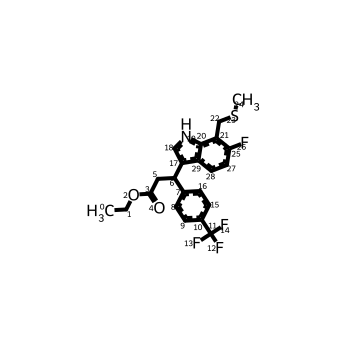 CCOC(=O)CC(c1ccc(C(F)(F)F)cc1)c1c[nH]c2c(CSC)c(F)ccc12